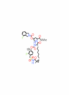 CNC(=O)[C@@H]1C[C@@H](OC(=O)N2Cc3cccc(F)c3C2)CN1C(=O)[C@H](CCCCCCC[C@@H]1C[C@]1(C)C(=O)NS(=O)(=O)Cc1ccccc1F)NC(=O)OC(C)(C)C